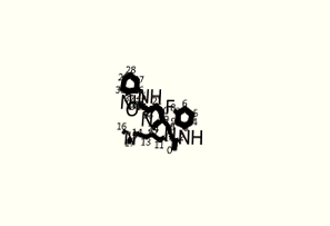 C=C(Nc1cccc(F)c1)N(CCCCN(C)C)Cc1ccc(C(=O)Nc2ccccc2N)nc1